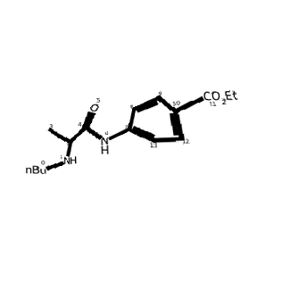 CCCCNC(C)C(=O)Nc1ccc(C(=O)OCC)cc1